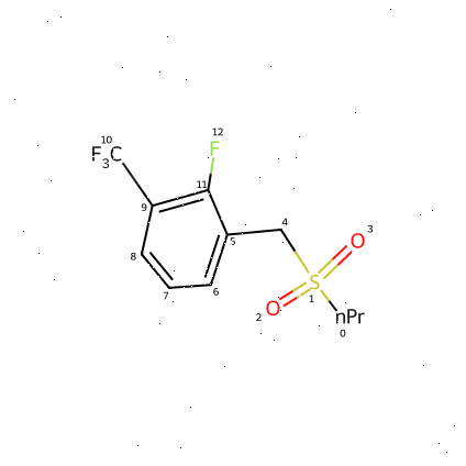 CCCS(=O)(=O)Cc1cccc(C(F)(F)F)c1F